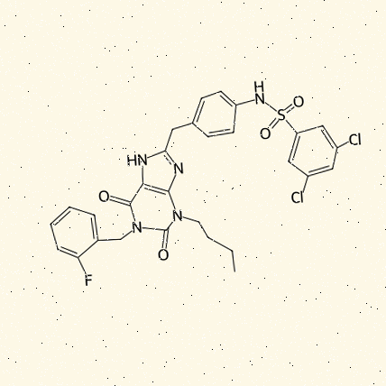 CCCCn1c(=O)n(Cc2ccccc2F)c(=O)c2[nH]c(Cc3ccc(NS(=O)(=O)c4cc(Cl)cc(Cl)c4)cc3)nc21